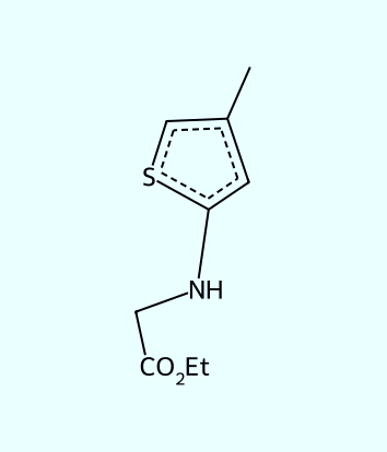 CCOC(=O)CNc1cc(C)cs1